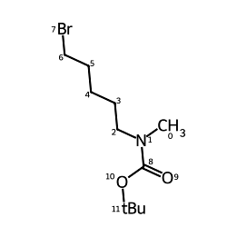 CN(CCCCCBr)C(=O)OC(C)(C)C